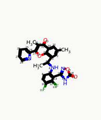 Cc1cc(C(C)Nc2ccc(F)c(F)c2-c2noc(=O)[nH]2)c2oc(-c3ccccn3)c(C)c(=O)c2c1